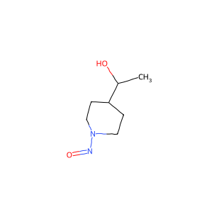 CC(O)C1CCN(N=O)CC1